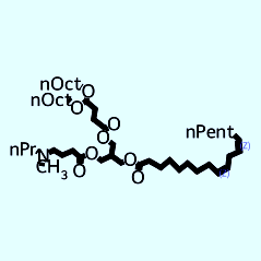 CCCCC/C=C\C/C=C\CCCCCCCC(=O)OCC(COC(=O)CCCN(C)CCC)COC(=O)CCC(OCCCCCCCC)OCCCCCCCC